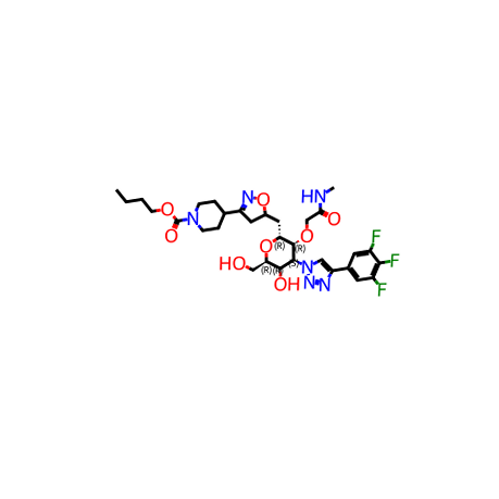 CCCCOC(=O)N1CCC(C2=NOC(C[C@H]3O[C@H](CO)[C@H](O)[C@H](n4cc(-c5cc(F)c(F)c(F)c5)nn4)[C@H]3OCC(=O)NC)C2)CC1